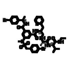 CCNC(=O)[C@@H](NC(=O)[C@H](C)NC[C@H](Cc1ccccn1)NC(=O)c1cc(C(=O)N[C@H](C)c2ccc(Br)cc2)cc(N(C)S(=O)(=O)Cc2ccc(Br)cc2)c1)C(C)C